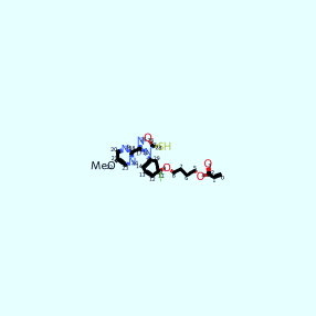 C=CC(=O)OCCCCOC1(F)C=CC=C(N2C(c3ncc(OC)cn3)=NOC2S)C1